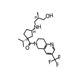 CC(C)[C@]1(C(=O)N2CCc3ncc(C(F)(F)F)cc3C2)CC[C@@H](NC[C@@H](C)CO)C1